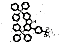 CC(C)(C)c1ccc(-c2cc([Si](c3ccccc3)(c3ccccc3)c3ccccc3)cc3c2[nH]c2ccc([Si](c4ccccc4)(c4ccccc4)c4ccccc4)cc23)cc1